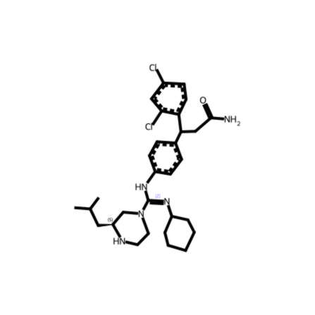 CC(C)C[C@H]1CN(/C(=N\C2CCCCC2)Nc2ccc(C(CC(N)=O)c3ccc(Cl)cc3Cl)cc2)CCN1